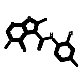 Cc1ccc(NC(=O)c2c(C)oc3ncn(C)c(=O)c23)c(Cl)c1